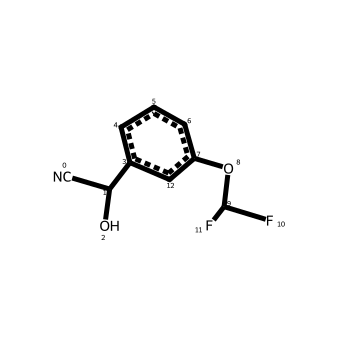 N#CC(O)c1cccc(OC(F)F)c1